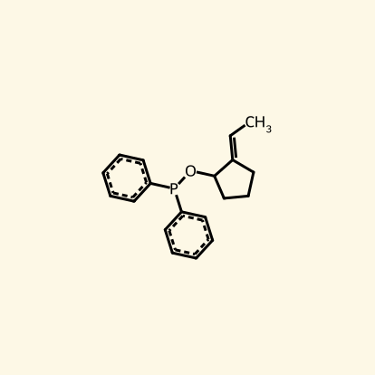 CC=C1CCCC1OP(c1ccccc1)c1ccccc1